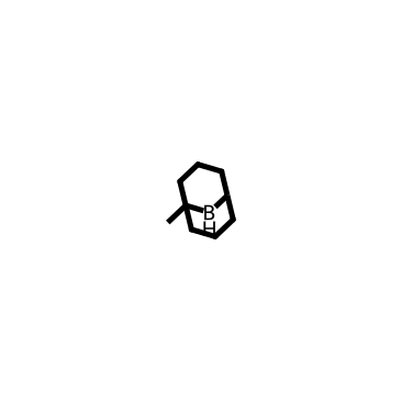 CC12BC(CCC1)CCC2